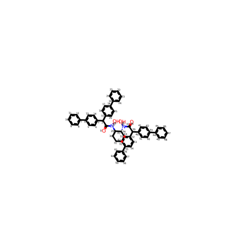 O=C(C(c1ccc(-c2ccccc2)cc1)c1ccc(-c2ccccc2)cc1)N(O)C1CCCC[C@H]1N(O)C(=O)C(c1ccc(-c2ccccc2)cc1)c1ccc(-c2ccccc2)cc1